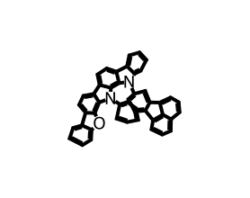 c1ccc(-n2c3c(ccc4c5ccccc5oc43)c3ccc4c5ccccc5n(-c5ccc6c(c5)-c5cccc7cccc-6c57)c4c32)cc1